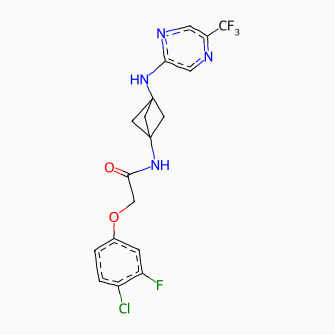 O=C(COc1ccc(Cl)c(F)c1)NC12CC(Nc3cnc(C(F)(F)F)cn3)(C1)C2